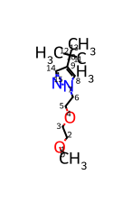 COCCOCCn1cc(C(C)(C)C)cn1